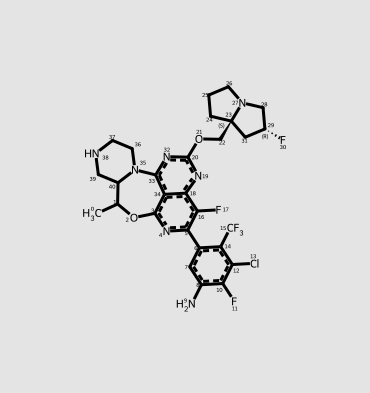 CC1Oc2nc(-c3cc(N)c(F)c(Cl)c3C(F)(F)F)c(F)c3nc(OC[C@@]45CCCN4C[C@H](F)C5)nc(c23)N2CCNCC12